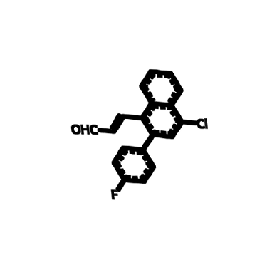 O=C/C=C/c1c(-c2ccc(F)cc2)cc(Cl)c2ccccc12